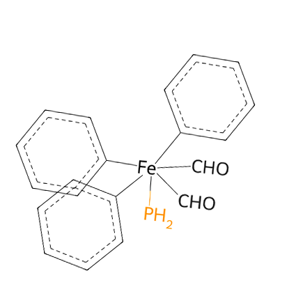 O=[CH][Fe]([PH2])([CH]=O)([c]1ccccc1)([c]1ccccc1)[c]1ccccc1